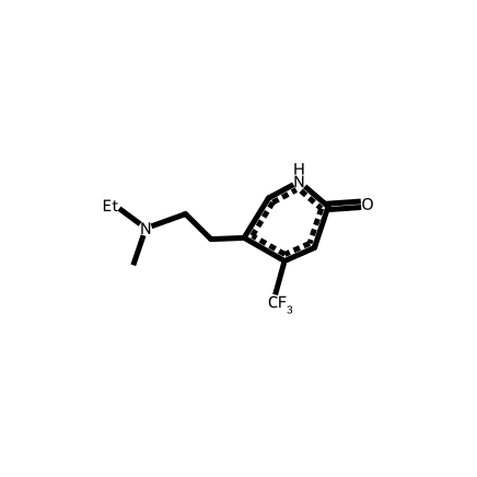 CCN(C)CCc1c[nH]c(=O)cc1C(F)(F)F